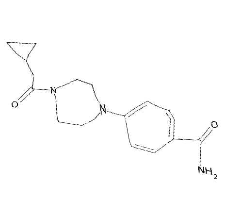 NC(=O)c1ccc(N2CCN(C(=O)C3CC3)CC2)cc1